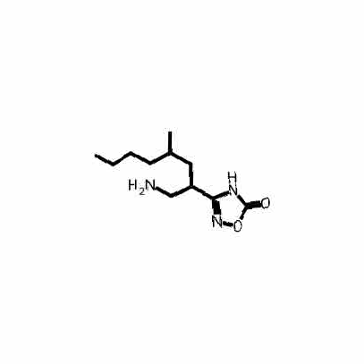 CCCCC(C)CC(CN)c1noc(=O)[nH]1